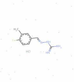 Cc1cc(/C=N/NC(=N)N)ccc1F.Cl